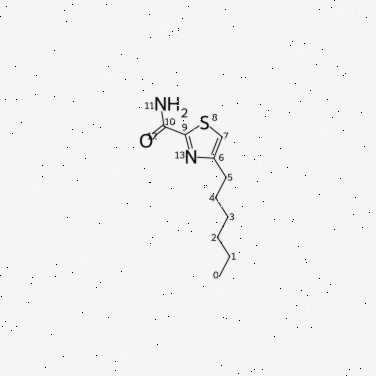 CCCCCCc1csc(C(N)=O)n1